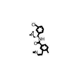 C=N/C=C\c1cc(C(=O)N[C@H](CN(C)C)c2cccc(Cl)c2)ccc1C